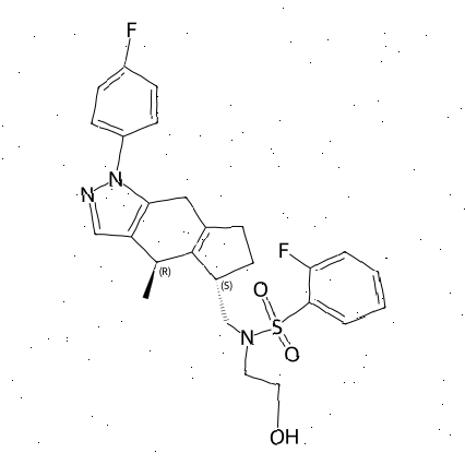 C[C@@H]1C2=C(CC[C@@H]2CN(CCO)S(=O)(=O)c2ccccc2F)Cc2c1cnn2-c1ccc(F)cc1